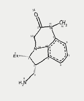 CC[C@H]1[C@@H](CN)c2cccc3c2N1CC(=O)N3C